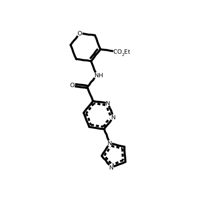 CCOC(=O)C1=C(NC(=O)c2ccc(-n3ccnc3)nn2)CCOC1